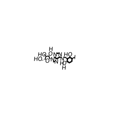 OC[C@H]1O[C@@H](n2cnc3c(NCc4c(O)ccc(I)c4O)ncnc32)[C@H](O)[C@@H]1O